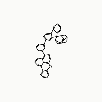 C1=C2CC3CC1C1(c4ccccc4-c4ccc(-c5cccc(-c6ccc7c8c(cccc68)-c6ccccc6O7)c5)cc41)C(C2)C3